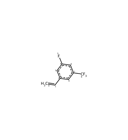 C=Cc1cc(F)cc(C(F)(F)F)c1